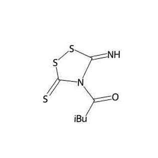 CCC(C)C(=O)n1c(=N)ssc1=S